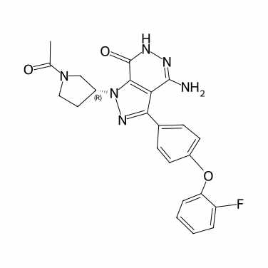 CC(=O)N1CC[C@@H](n2nc(-c3ccc(Oc4ccccc4F)cc3)c3c(N)n[nH]c(=O)c32)C1